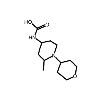 CC1CC(NC(=O)O)CCN1C1CCOCC1